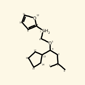 CC(C)CC(OC[SiH2]c1ccco1)C1CCCC1